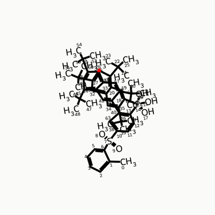 Cc1ccccc1S(=O)(=O)c1ccc(P(O)(O)(O)c2cc3c(C(C)(C)C)cc(C(C)(C)C)cc3cc2C(C)(C)C)c(-c2cc3c(C(C)(C)C)cc(C(C)(C)C)cc3cc2C(C)(C)C)c1